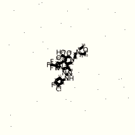 Cc1cc(C(F)(F)F)nn1-c1nc(Nc2ccc(F)c(Cl)c2)ncc1-c1cc(C(=O)O)c(=O)n(CCN2CCOCC2)c1